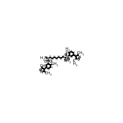 Cc1ccc(-c2c(C)noc2C)cc1S(=O)(=O)N(N)CCCCCCCN(N)S(=O)(=O)c1cc(-c2c(C)noc2C)ccc1C